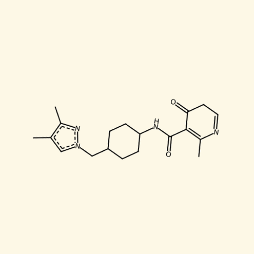 CC1=C(C(=O)NC2CCC(Cn3cc(C)c(C)n3)CC2)C(=O)CC=N1